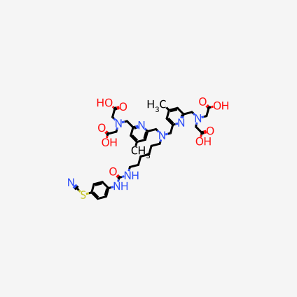 Cc1cc(CN(CC(=O)O)CC(=O)O)nc(CN(CCCCCCNC(=O)Nc2ccc(SC#N)cc2)Cc2cc(C)cc(CN(CC(=O)O)CC(=O)O)n2)c1